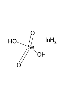 O=[Se](=O)(O)O.[InH3]